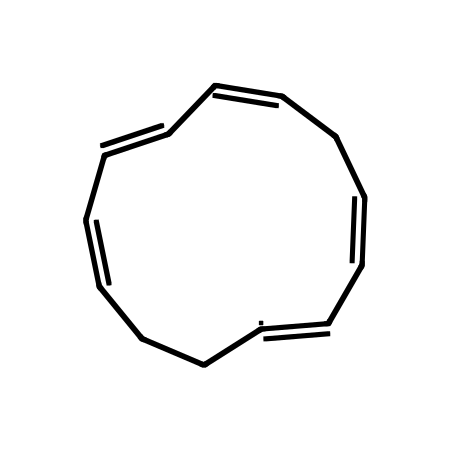 [C]1=C/C=C\C\C=C/C=C/C=C\CC/1